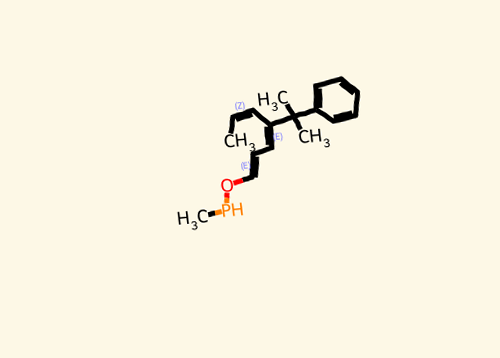 C\C=C/C(=C\C=C\OPC)C(C)(C)c1ccccc1